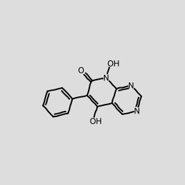 O=c1c(-c2ccccc2)c(O)c2cncnc2n1O